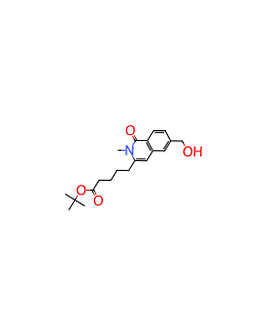 Cn1c(CCCCC(=O)OC(C)(C)C)cc2cc(CO)ccc2c1=O